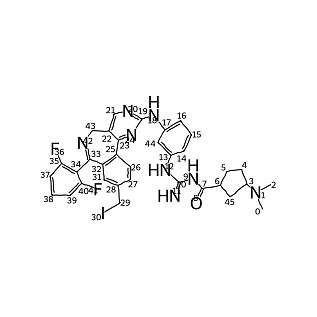 CN(C)C1CCC(C(=O)NC(=N)Nc2cccc(Nc3ncc4c(n3)-c3ccc(CI)cc3C(c3c(F)cccc3F)=NC4)c2)C1